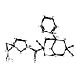 CC1(C)CC2CC(C)(C(=O)N3CCC4(CC4N)C3)CC(c3ccccc3)(C2)C1